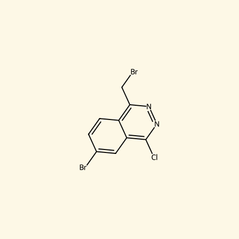 Clc1nnc(CBr)c2ccc(Br)cc12